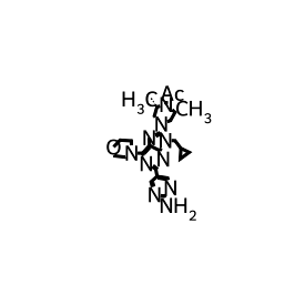 CC(=O)N1[C@H](C)CN(c2nc3c(N4CCOCC4)nc(-c4cnc(N)nc4)nc3n2CC2CC2)C[C@@H]1C